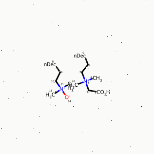 CCCCCCCCCCCC[N+](C)(C)CC(=O)O.CCCCCCCCCCCC[N+](C)(C)[O-]